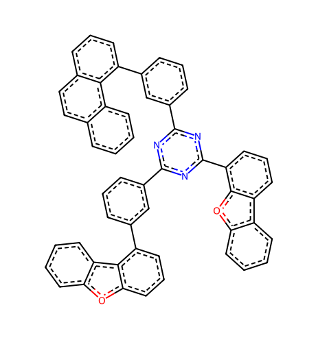 c1cc(-c2nc(-c3cccc(-c4cccc5oc6ccccc6c45)c3)nc(-c3cccc4c3oc3ccccc34)n2)cc(-c2cccc3ccc4ccccc4c23)c1